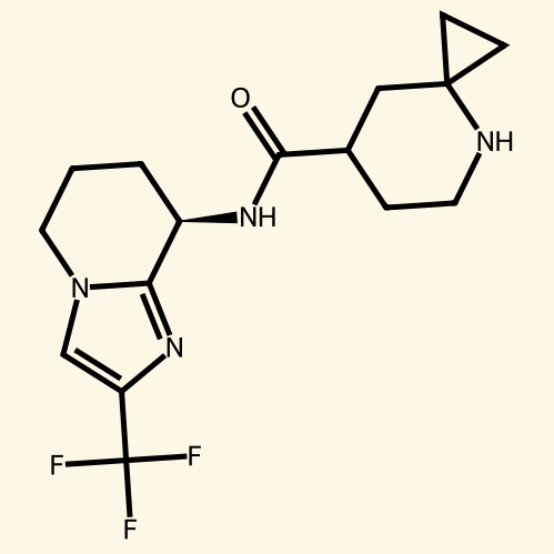 O=C(N[C@@H]1CCCn2cc(C(F)(F)F)nc21)C1CCNC2(CC2)C1